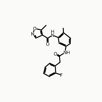 Cc1ccc(NC(=O)Cc2ccccc2F)cc1NC(=O)c1cnoc1C